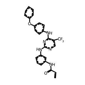 C=CC(=O)Nc1cccc(Nc2ncc(C(F)(F)F)c(Nc3ccc(Oc4ccccc4)cc3)n2)c1